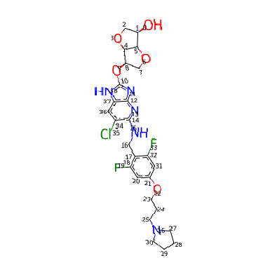 O[C@@H]1COC2C1OC[C@H]2Oc1nc2nc(NCc3c(F)cc(OCCCN4CCCC4)cc3F)c(Cl)cc2[nH]1